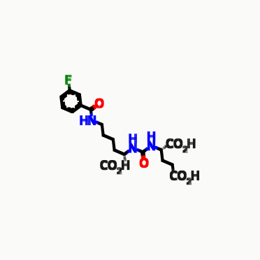 O=C(O)CC[C@H](NC(=O)N[C@@H](CCCCNC(=O)c1cccc(F)c1)C(=O)O)C(=O)O